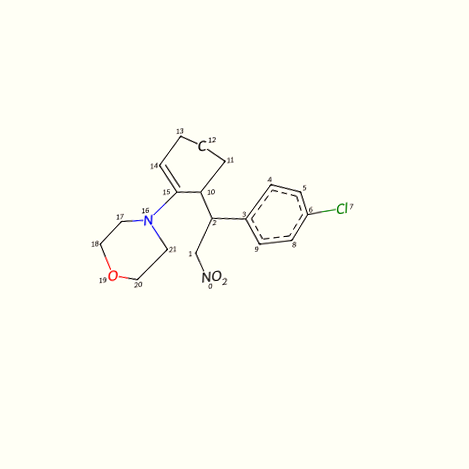 O=[N+]([O-])CC(c1ccc(Cl)cc1)C1CCCC=C1N1CCOCC1